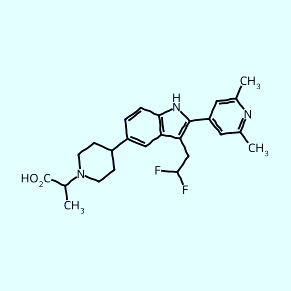 Cc1cc(-c2[nH]c3ccc(C4CCN(C(C)C(=O)O)CC4)cc3c2CC(F)F)cc(C)n1